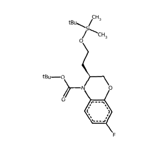 CC(C)(C)OC(=O)N1c2ccc(F)cc2OC[C@@H]1CCO[Si](C)(C)C(C)(C)C